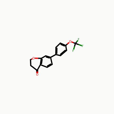 O=C1CCOc2cc(-c3ccc(OC(F)(F)F)cc3)ccc21